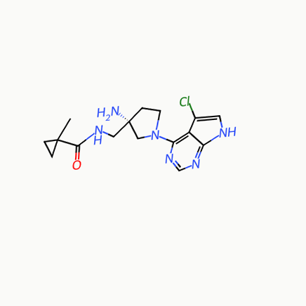 CC1(C(=O)NC[C@@]2(N)CCN(c3ncnc4[nH]cc(Cl)c34)C2)CC1